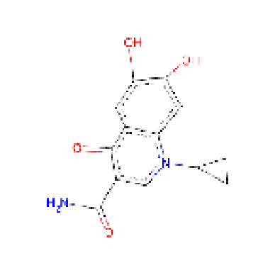 NC(=O)c1cn(C2CC2)c2cc(O)c(O)cc2c1=O